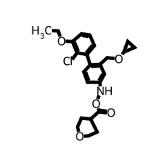 CCOc1cccc(-c2ccc(NOC(=O)C3CCOCC3)cc2COC2CC2)c1Cl